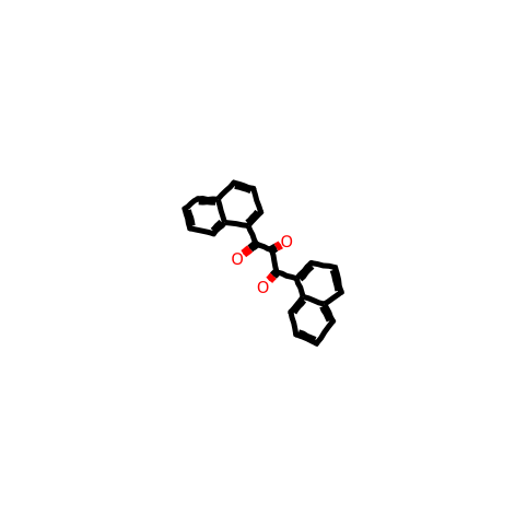 O=C(C(=O)c1cccc2ccccc12)C(=O)c1cccc2ccccc12